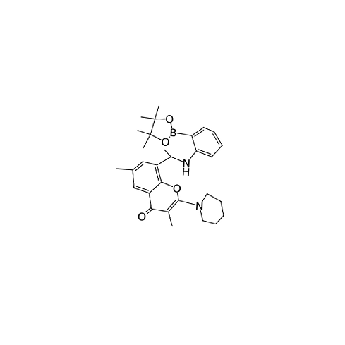 Cc1cc(C(C)Nc2ccccc2B2OC(C)(C)C(C)(C)O2)c2oc(N3CCCCC3)c(C)c(=O)c2c1